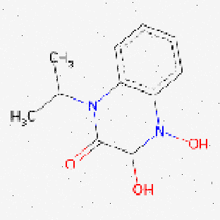 CC(C)N1C(=O)C(O)N(O)c2ccccc21